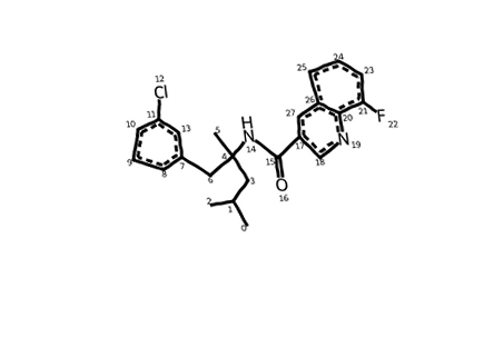 CC(C)CC(C)(Cc1cccc(Cl)c1)NC(=O)c1cnc2c(F)cccc2c1